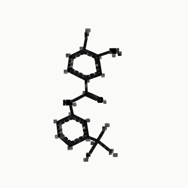 Nc1cc(C(=O)Nc2cccc(C(F)(F)F)c2)ccc1F